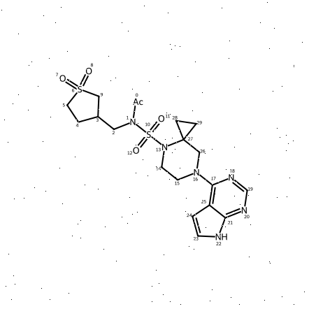 CC(=O)N(CC1CCS(=O)(=O)C1)S(=O)(=O)N1CCN(c2ncnc3[nH]ccc23)CC12CC2